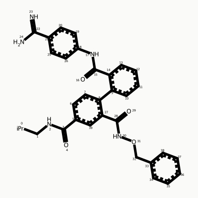 CC(C)CNC(=O)c1ccc(-c2ccccc2C(=O)Nc2ccc(C(=N)N)cc2)c(C(=O)NOCc2ccccc2)c1